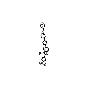 CS(=O)(=O)c1ccc(-c2nc3ccc(-c4ccc(N5CCN(CCN6CCOCC6)CC5)cc4)nc3n2C2CC2)cc1